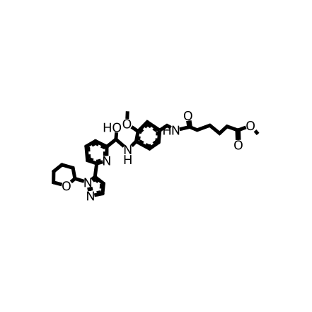 COC(=O)CCCCC(=O)NCc1ccc(NC(O)c2cccc(-c3ccnn3C3CCCCO3)n2)c(OC)c1